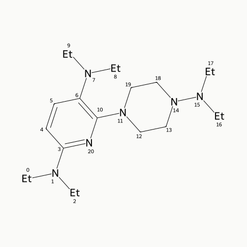 CCN(CC)c1ccc(N(CC)CC)c(N2CCN(N(CC)CC)CC2)n1